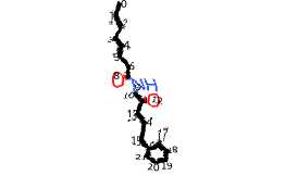 CCCCCCCC(=O)NCC(=O)CCCc1ccccc1